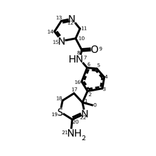 CC1(c2cccc(NC(=O)C3CN=CC=N3)c2)CCSC(N)=N1